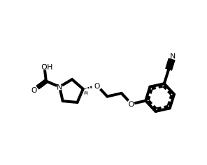 N#Cc1cccc(OCCO[C@@H]2CCN(C(=O)O)C2)c1